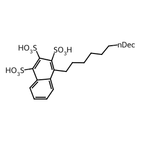 CCCCCCCCCCCCCCCCc1c(S(=O)(=O)O)c(S(=O)(=O)O)c(S(=O)(=O)O)c2ccccc12